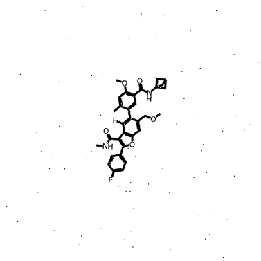 CNC(=O)c1c(-c2ccc(F)cc2)oc2cc(COC)c(-c3cc(C(=O)NC45CC(C4)C5)c(OC)cc3C)c(F)c12